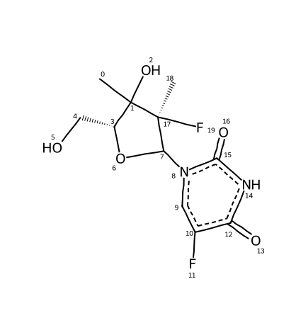 CC1(O)[C@@H](CO)OC(n2cc(F)c(=O)[nH]c2=O)[C@]1(C)F